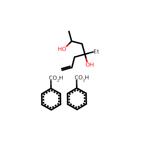 C=CCC(O)(CC)CC(C)O.O=C(O)c1ccccc1.O=C(O)c1ccccc1